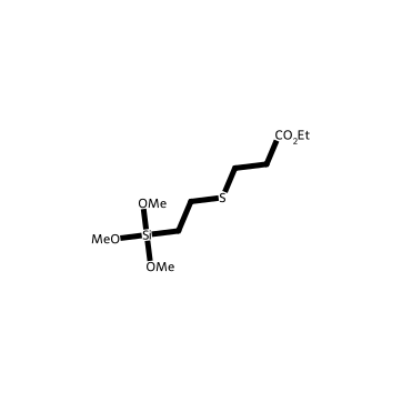 CCOC(=O)CCSCC[Si](OC)(OC)OC